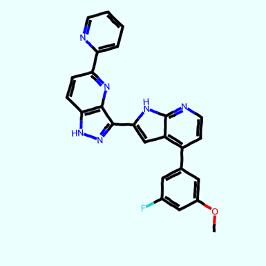 COc1cc(F)cc(-c2ccnc3[nH]c(-c4n[nH]c5ccc(-c6ccccn6)nc45)cc23)c1